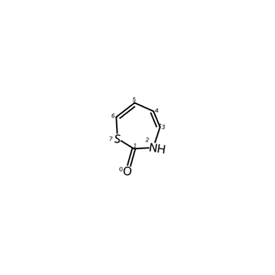 O=C1N[C]=CC=CS1